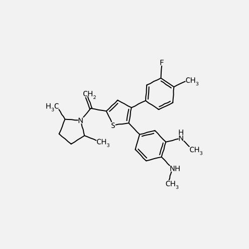 C=C(c1cc(-c2ccc(C)c(F)c2)c(-c2ccc(NC)c(NC)c2)s1)N1C(C)CCC1C